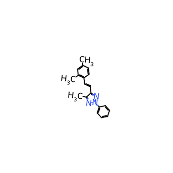 Cc1ccc(C=Cc2nn(-c3ccccc3)nc2C)c(C)c1